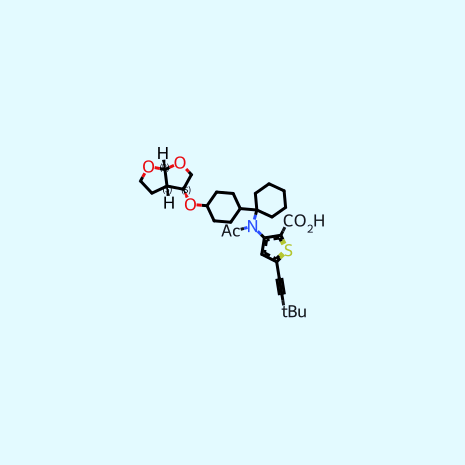 CC(=O)N(c1cc(C#CC(C)(C)C)sc1C(=O)O)C1(C2CCC(O[C@@H]3CO[C@H]4OCC[C@H]43)CC2)CCCCC1